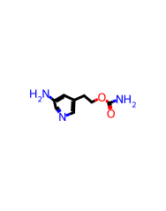 NC(=O)OCCc1cncc(N)c1